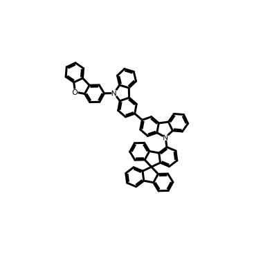 c1ccc2c(c1)-c1ccccc1C21c2ccccc2-c2c(-n3c4ccccc4c4cc(-c5ccc6c(c5)c5ccccc5n6-c5ccc6oc7ccccc7c6c5)ccc43)cccc21